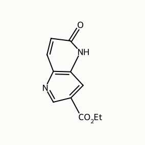 CCOC(=O)c1cnc2ccc(=O)[nH]c2c1